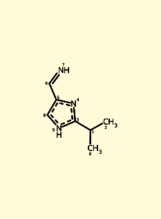 CC(C)c1nc(C=N)c[nH]1